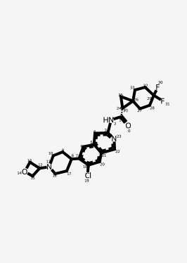 O=C(Nc1cc2cc(C3CCN(C4COC4)CC3)c(Cl)cc2cn1)[C@@H]1CC12CCC(F)(F)CC2